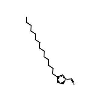 CCCCCCCCCCCCCCc1ccn(C=O)c1